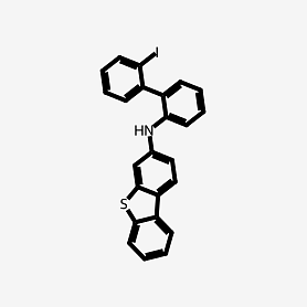 Ic1ccccc1-c1ccccc1Nc1ccc2c(c1)sc1ccccc12